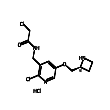 Cl.O=C(CCl)NCc1cc(OC[C@@H]2CCN2)cnc1Cl